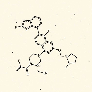 C=C(F)C(=O)N1CCN(c2nc(OC[C@@H]3CCCN3C)nc3c(F)c(-c4cccc5cc(F)sc45)ccc23)C[C@@H]1CC#N